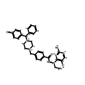 CC(C)CN(NC(=O)c1ccc(CN2CCN(C(c3ccccc3)c3ccc(Cl)cc3)CC2)cc1)c1nc(C#N)ncc1Cl